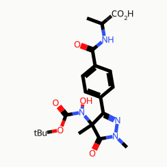 CC(NC(=O)c1ccc(C2=NN(C)C(=O)C2(C)N(O)C(=O)OC(C)(C)C)cc1)C(=O)O